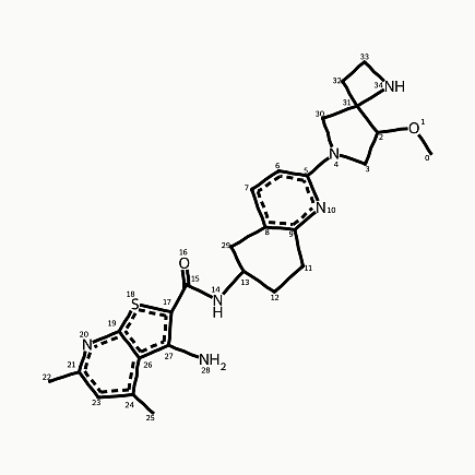 COC1CN(c2ccc3c(n2)CCC(NC(=O)c2sc4nc(C)cc(C)c4c2N)C3)CC12CCN2